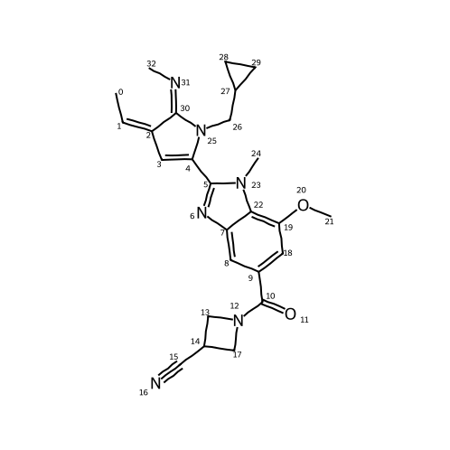 C/C=C1/C=C(c2nc3cc(C(=O)N4CC(C#N)C4)cc(OC)c3n2C)N(CC2CC2)/C1=N/C